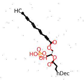 C#CC#CC#CC#CC#CC(=O)OC[C@@H](COP(=O)(O)O)OC(=O)CCCCCCCCCCCC